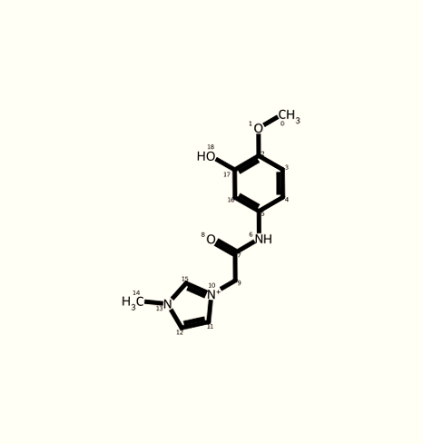 COc1ccc(NC(=O)C[n+]2ccn(C)c2)cc1O